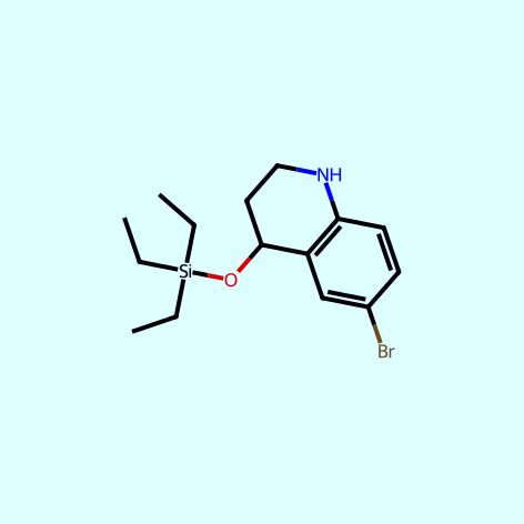 CC[Si](CC)(CC)OC1CCNc2ccc(Br)cc21